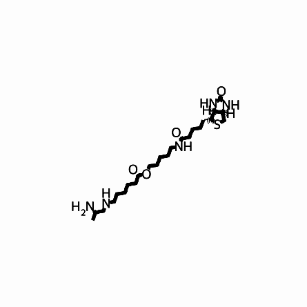 CC(N)CNCCCCCC(=O)OCCCCCNC(=O)CCCC[C@H]1SC[C@@H]2NC(=O)N[C@@H]21